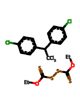 CCOC(=S)SSC(=S)OCC.Clc1ccc(C(c2ccc(Cl)cc2)C(Cl)(Cl)Cl)cc1